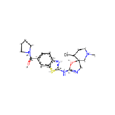 CCC1CCN(C)CC12CN=C(Nc1nc3ccc(C(=O)N4CCCC4)cc3s1)O2